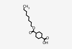 CCCCCCCCOC(=O)C1CCC(C(=O)O)CC1